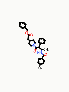 C[C@@H](NC(=O)c1ccc(C#N)cc1)C(C(=O)N1CCC(CC(=O)OCc2ccccc2)CC1)c1ccccc1